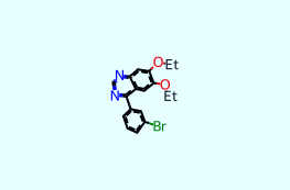 CCOc1cc2ncnc(-c3cccc(Br)c3)c2cc1OCC